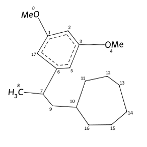 COc1cc(OC)cc(C(C)CC2CCCCCC2)c1